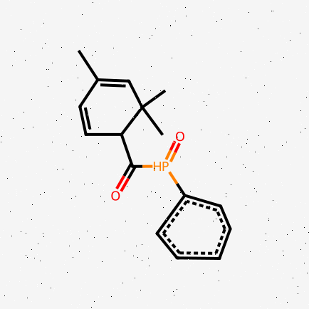 CC1=CC(C)(C)C(C(=O)[PH](=O)c2ccccc2)C=C1